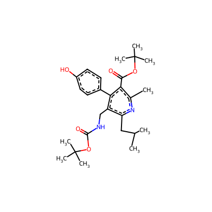 Cc1nc(CC(C)C)c(CNC(=O)OC(C)(C)C)c(-c2ccc(O)cc2)c1C(=O)OC(C)(C)C